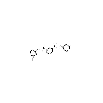 O=C(OCc1cccc(F)c1)c1cccc(C(=O)OCc2cccc(F)c2)c1